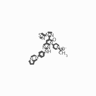 C[S+]([O-])N1CCC(n2c(=O)c(-c3nccn3-c3cscn3)cc3cnc(Nc4ccc(N5CCN6CCCC6C5)cc4)nc32)CC1